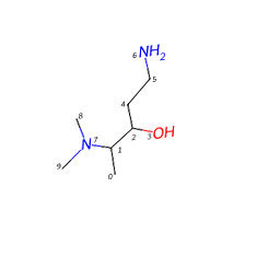 CC(C(O)CCN)N(C)C